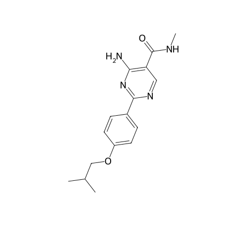 CNC(=O)c1cnc(-c2ccc(OCC(C)C)cc2)nc1N